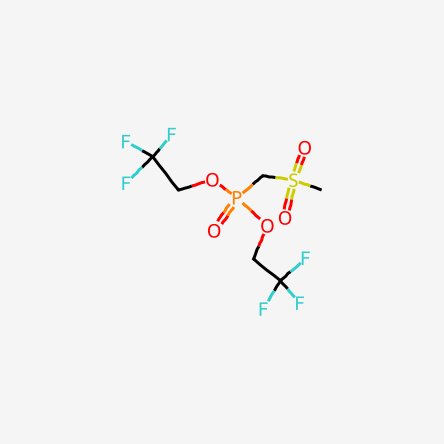 CS(=O)(=O)CP(=O)(OCC(F)(F)F)OCC(F)(F)F